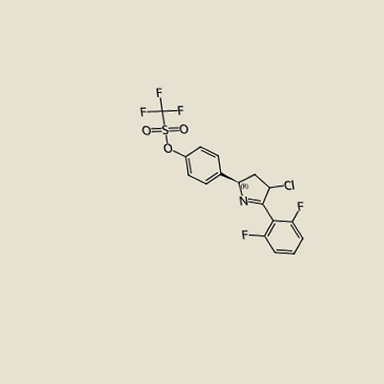 O=S(=O)(Oc1ccc([C@H]2CC(Cl)C(c3c(F)cccc3F)=N2)cc1)C(F)(F)F